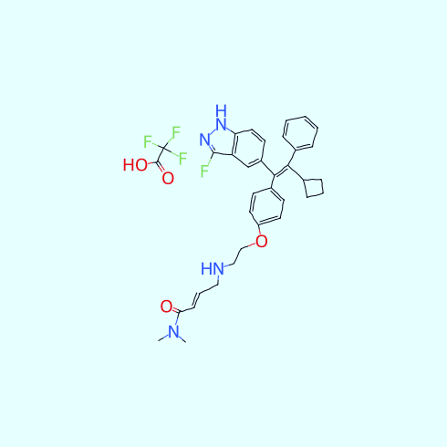 CN(C)C(=O)C=CCNCCOc1ccc(C(=C(c2ccccc2)C2CCC2)c2ccc3[nH]nc(F)c3c2)cc1.O=C(O)C(F)(F)F